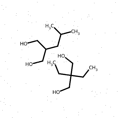 CC(C)CC(CO)CO.CCC(CC)(CO)CO